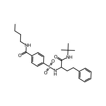 CCCCNC(=O)c1ccc(S(=O)(=O)NC(CCc2ccccc2)C(=O)NC(C)(C)C)cc1